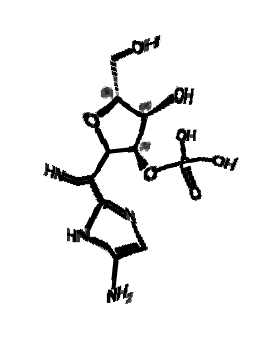 N=C(c1ncc(N)[nH]1)C1O[C@H](CO)[C@@H](O)[C@H]1OP(=O)(O)O